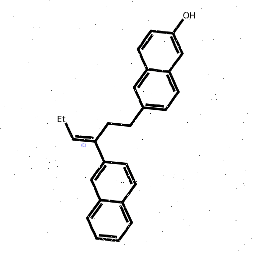 CC/C=C(\CCc1ccc2cc(O)ccc2c1)c1ccc2ccccc2c1